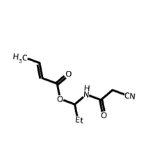 CC=CC(=O)OC(CC)NC(=O)CC#N